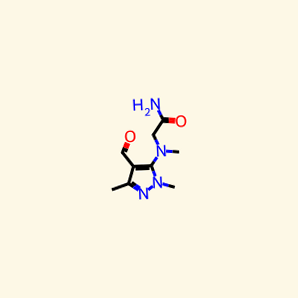 Cc1nn(C)c(N(C)CC(N)=O)c1C=O